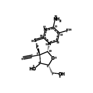 C#C[C@@]1(F)C(O)[C@@H](CO)O[C@H]1n1cc(F)c(N)nc1=S